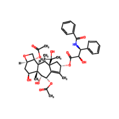 CC(=O)O[C@H]1C2=C(C)[C@@H](OC(=O)[C@H](O)[C@@H](NC(=O)c3ccccc3)c3ccccc3)C[C@@]2(C(C)(C)O)[C@@H](C)[C@@H]2[C@]3(OC(C)=O)CO[C@@H]3C[C@H](O)[C@@]2(C)[C@H]1O